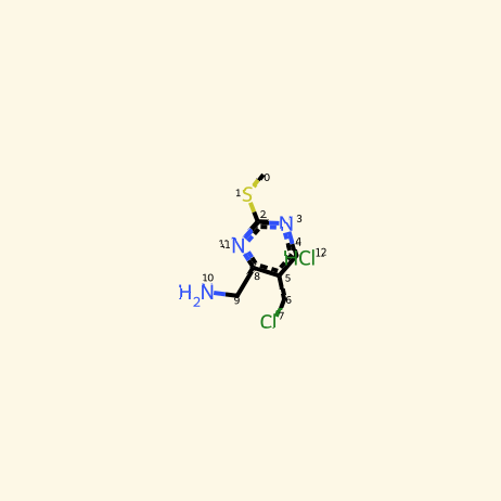 CSc1ncc(CCl)c(CN)n1.Cl